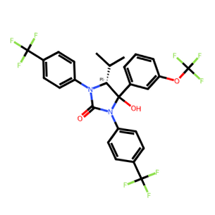 CC(C)[C@H]1N(c2ccc(C(F)(F)F)cc2)C(=O)N(c2ccc(C(F)(F)F)cc2)C1(O)c1cccc(OC(F)(F)F)c1